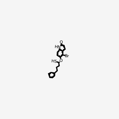 O=c1ccc2c(Br)c(OC(S)CCCc3ccccc3)ccc2[nH]1